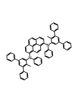 Cc1c(-c2ccccc2)cc(-c2ccccc2)cc1N(c1ccccc1)c1ccc2ccc3ccc(N(c4ccccc4)c4cc(-c5ccccc5)cc(-c5ccccc5)c4C)c4ccc1c2c34